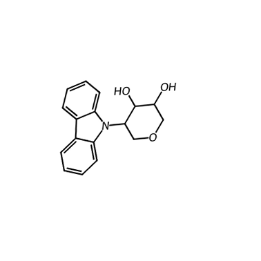 OC1COCC(n2c3ccccc3c3ccccc32)C1O